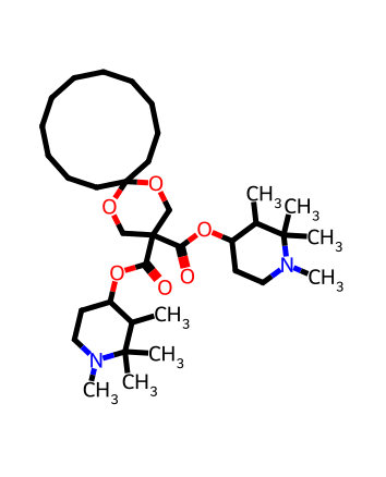 CC1C(OC(=O)C2(C(=O)OC3CCN(C)C(C)(C)C3C)COC3(CCCCCCCCCCC3)OC2)CCN(C)C1(C)C